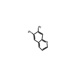 CC(C)c1cc2cccnc2cc1C(C)C